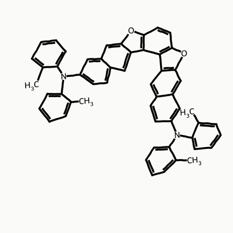 Cc1ccccc1N(c1ccc2cc3c(cc2c1)oc1ccc2oc4cc5cc(N(c6ccccc6C)c6ccccc6C)ccc5cc4c2c13)c1ccccc1C